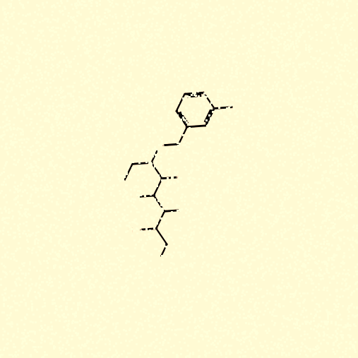 CCC(OCc1cccc(C)c1)C(O)C(O)C(O)C(O)CO